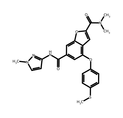 CSc1ccc(Oc2cc(C(=O)Nc3ccn(C)n3)cc3oc(C(=O)N(C)C)cc23)cc1